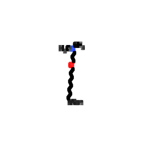 CCCCCCCCCCCCCCCCCOCCCN(C)C